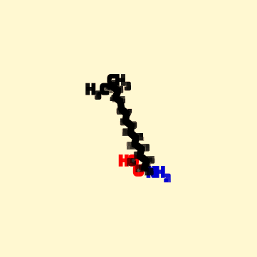 CC(C)CCCCCCCCCCC[C@@H](O)CC(N)=O